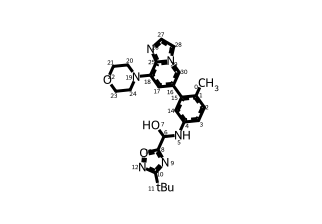 Cc1ccc(NC(O)c2nc(C(C)(C)C)no2)cc1-c1cc(N2CCOCC2)c2nccn2c1